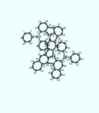 c1ccc(N(c2ccccc2)c2cccc3c4cccc5c6nc7c(nc6n(c23)c45)c2cc3ccccc3c3c4c5ccccc5cc(N(c5ccccc5)c5ccccc5)c4n7c23)cc1